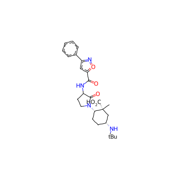 CC(C)(C)N[C@@H]1CC[C@H](N2CCC(NC(=O)c3cc(-c4ccccc4)no3)C2=O)[C@](C)(C(=O)O)C1